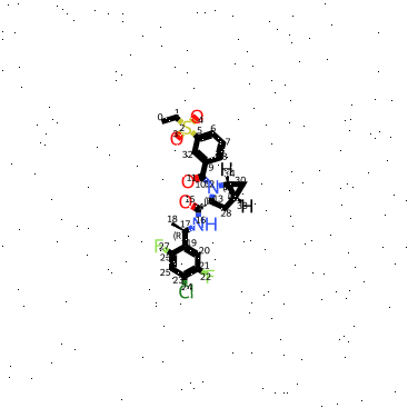 CCS(=O)(=O)c1cccc(C(=O)N2[C@@H](C(=O)N[C@H](C)c3cc(F)c(Cl)cc3F)C[C@H]3C[C@H]32)c1